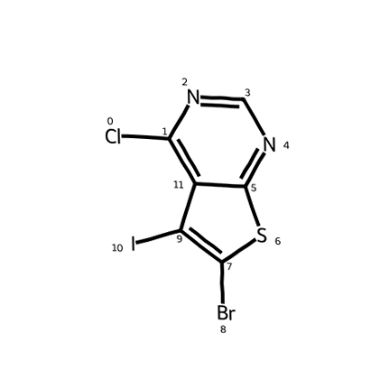 Clc1ncnc2sc(Br)c(I)c12